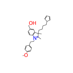 COc1ccc(CC[N+]2=C(C)C(C)(CCCCC3C=CC=C3)c3cc(CO)ccc32)cc1